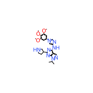 COc1cc(-n2cnc(Nc3nc(C4CCNC4)nc4c3cnn4C(C)C)c2)cc(OC)c1OC